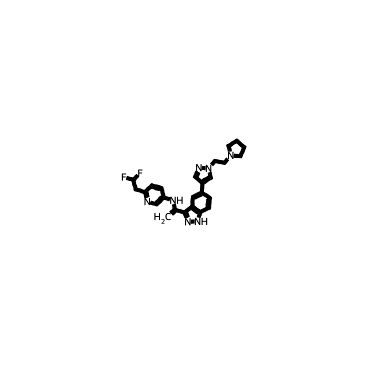 C=C(Nc1ccc(CC(F)F)nc1)c1n[nH]c2ccc(-c3cnn(CCN4CCCC4)c3)cc12